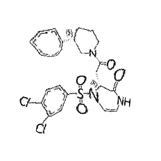 O=C1NC=CN(S(=O)(=O)c2ccc(Cl)c(Cl)c2)[C@@H]1CC(=O)N1CCC[C@@H](c2ccccc2)C1